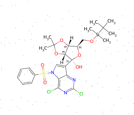 CC1(C)O[C@H]2[C@@H](O1)[C@](O)(c1cn(S(=O)(=O)c3ccccc3)c3c(Cl)nc(Cl)nc13)O[C@@H]2CO[Si](C)(C)C(C)(C)C